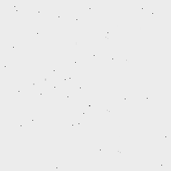 Cc1ccc(C)n1-c1noc2c(N3CCC(N)C3)cc(Cl)cc12.Cl.Cl